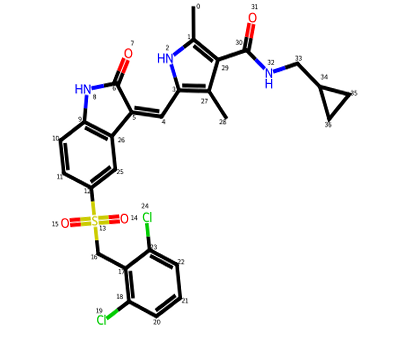 Cc1[nH]c(/C=C2\C(=O)Nc3ccc(S(=O)(=O)Cc4c(Cl)cccc4Cl)cc32)c(C)c1C(=O)NCC1CC1